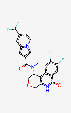 CN(C(=O)c1cc2cc(C(F)F)ccn2c1)[C@H]1COCc2[nH]c(=O)c3cc(F)c(F)cc3c21